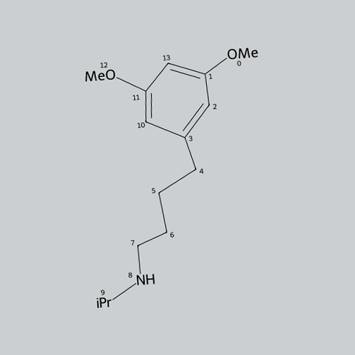 COc1cc(CCCCNC(C)C)cc(OC)c1